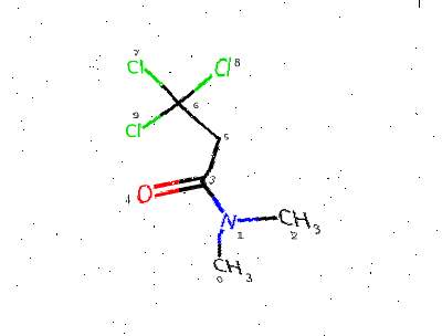 CN(C)C(=O)CC(Cl)(Cl)Cl